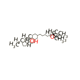 CC[C@H]1CC[C@H]2C3(O)CCC4CC(CCCCCO[Si](C)(C)C(C)(C)C)CC[C@]4(C)[C@H]3CC[C@]12C